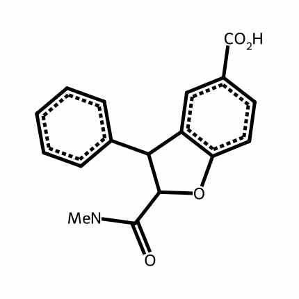 CNC(=O)C1Oc2ccc(C(=O)O)cc2C1c1ccccc1